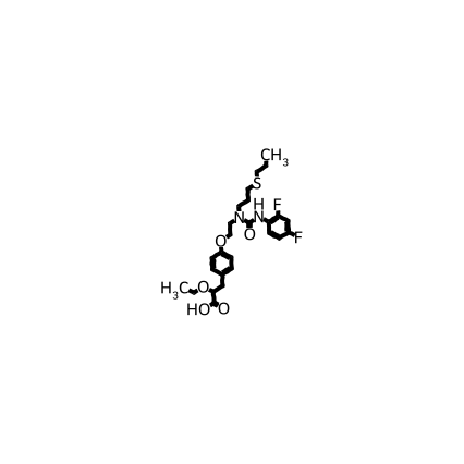 CCCSCCCN(CCOc1ccc(CC(OCC)C(=O)O)cc1)C(=O)Nc1ccc(F)cc1F